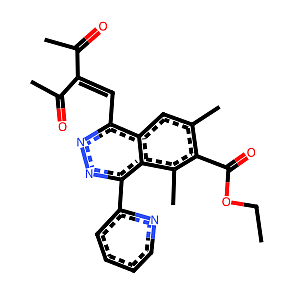 CCOC(=O)c1c(C)cc2c(C=C(C(C)=O)C(C)=O)nnc(-c3ccccn3)c2c1C